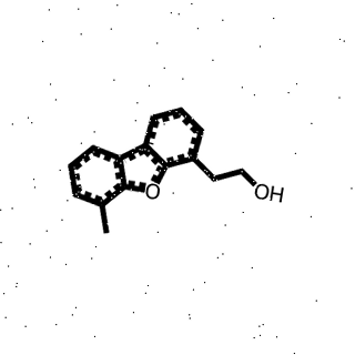 Cc1cccc2c1oc1c(CCO)cccc12